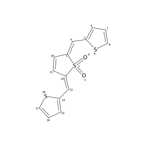 O=S1(=O)C(=Cc2cccs2)C=CC1=Cc1cccs1